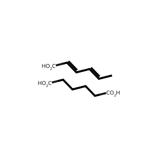 CC=CC=CC(=O)O.O=C(O)CCCCC(=O)O